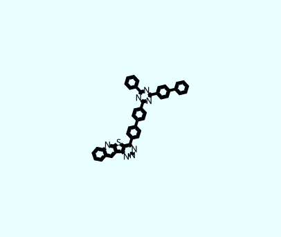 c1ccc(-c2ccc(-c3nc(-c4ccccc4)nc(-c4ccc(-c5ccc(-c6nnnc7c6sc6nc8ccccc8cc67)cc5)cc4)n3)cc2)cc1